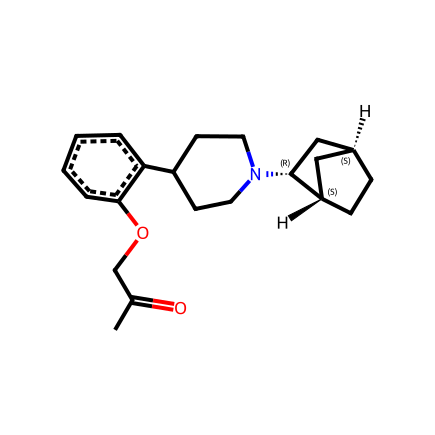 CC(=O)COc1ccccc1C1CCN([C@@H]2C[C@H]3CC[C@H]2C3)CC1